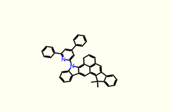 CC1(C)c2ccccc2-c2cc3c4c(c5c(cc4c21)c1ccccc1n5-c1cc(-c2ccccc2)cc(-c2ccccc2)n1)CC=C3